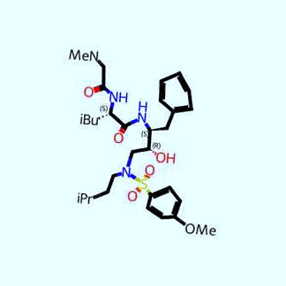 CCC(C)[C@H](NC(=O)CNC)C(=O)N[C@@H](Cc1ccccc1)[C@H](O)CN(CCC(C)C)S(=O)(=O)c1ccc(OC)cc1